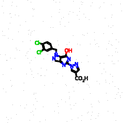 O=C(O)c1cnn(-c2nc(O)c3c(cnn3Cc3ccc(Cl)c(Cl)c3)n2)c1